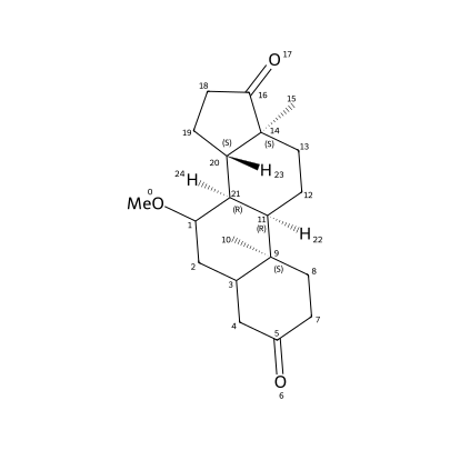 COC1CC2CC(=O)CC[C@]2(C)[C@@H]2CC[C@]3(C)C(=O)CC[C@H]3[C@H]12